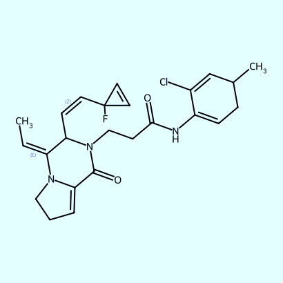 C/C=C1\C(/C=C\C2(F)C=C2)N(CCC(=O)NC2=CCC(C)C=C2Cl)C(=O)C2=CCCN21